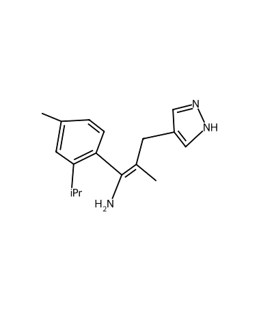 C/C(Cc1cn[nH]c1)=C(\N)c1ccc(C)cc1C(C)C